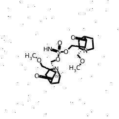 COC[C@]1(COS(=N)(=O)OC[C@@]2(COC)C(=O)C3CCN2CC3)C(=O)C2CCN1CC2